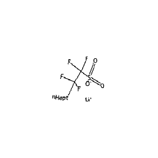 CCCCCCCC(F)(F)C(F)(F)S(=O)(=O)[O-].[Li+]